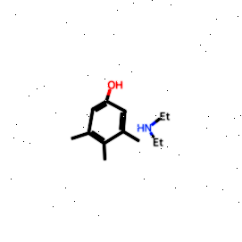 CCNCC.Cc1cc(O)cc(C)c1C